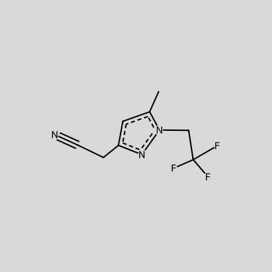 Cc1cc(CC#N)nn1CC(F)(F)F